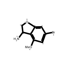 COc1cc(Br)cc2c1C(N)CO2